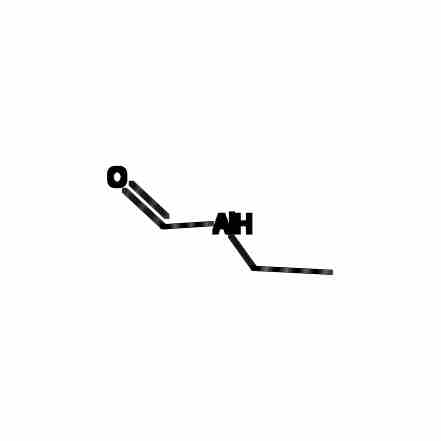 C[CH2][AlH][CH]=O